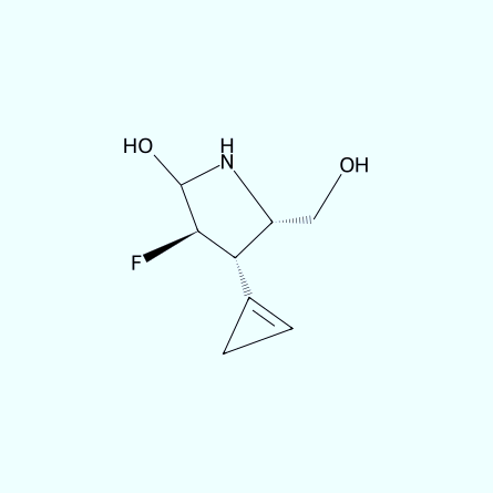 OC[C@H]1NC(O)[C@H](F)[C@H]1C1=CC1